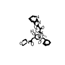 CC(C)(NC(=O)C(CC(=O)N1CCOCC1)CS(=O)(=O)Cc1ccccc1)C(=O)c1nc2ncccc2o1